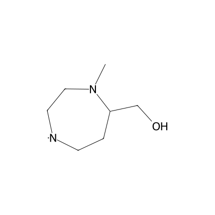 CN1CC[N]CCC1CO